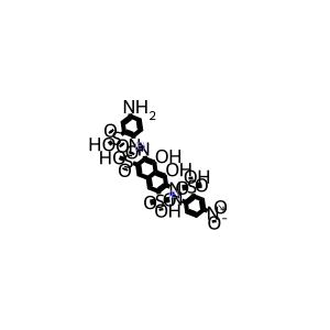 Nc1ccc(/N=N/c2c(S(=O)(=O)O)cc3cc(S(=O)(=O)O)c(/N=N/c4ccc([N+](=O)[O-])cc4S(=O)(=O)O)c(O)c3c2O)c(S(=O)(=O)O)c1